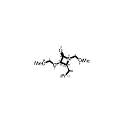 COCO[C@H]1C(=O)N(COC)[C@H]1CC(C)C